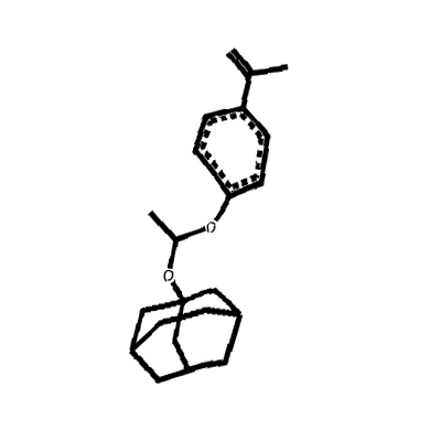 C=C(C)c1ccc(OC(C)OC23CC4CC(CC(C4)C2)C3)cc1